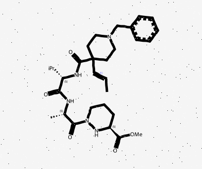 C/C=C/C1(C(=O)N[C@H](C(=O)N[C@@H](C)C(=O)N2CCC[C@@H](C(=O)OC)N2)C(C)C)CCN(Cc2ccccc2)CC1